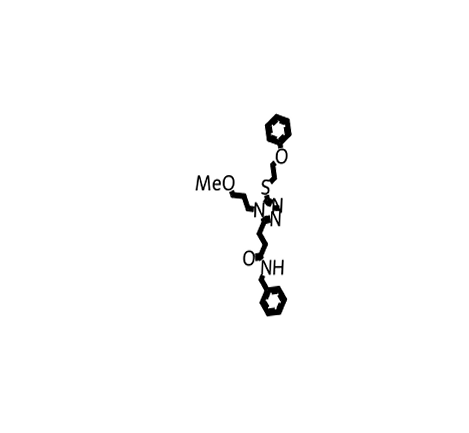 COCCCn1c(CCC(=O)NCc2ccccc2)nnc1SCCOc1ccccc1